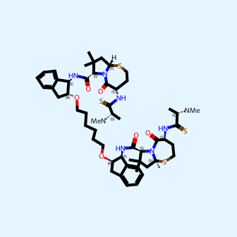 CN[C@@H](C)C(=S)N[C@H]1CCS[C@H]2CC(C)(C)[C@@H](C(=O)N[C@H]3c4ccccc4C[C@H]3OCCCCCCO[C@@H]3Cc4ccccc4[C@@H]3NC(=O)[C@H]3N4C(=O)[C@@H](NC(=S)[C@H](C)NC)CCS[C@@]4(C)CC3(C)C)N2C1=O